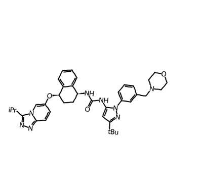 CC(C)c1nnc2ccc(O[C@@H]3CC[C@H](NC(=O)Nc4cc(C(C)(C)C)nn4-c4cccc(CN5CCOCC5)c4)c4ccccc43)cn12